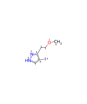 COCCc1n[nH]cc1I